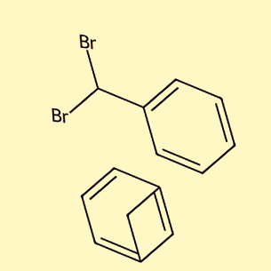 BrC(Br)c1ccccc1.c1cc2cc(c1)C2